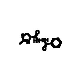 CC1=N[C@H](C(=O)NNC(=O)c2ccccc2)CS1